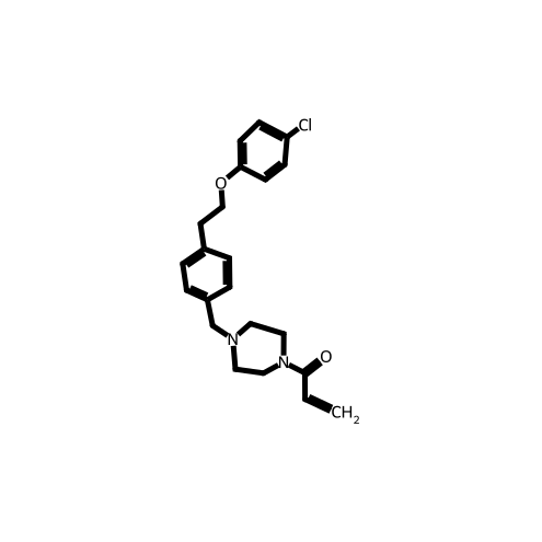 C=CC(=O)N1CCN(Cc2ccc(CCOc3ccc(Cl)cc3)cc2)CC1